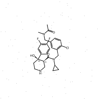 CC(=O)N(C)Cc1ccc(Cl)c(CN(C(=O)[C@H]2CNCC[C@]2(O)c2ccc(F)c(F)c2)C2CC2)c1